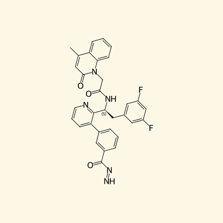 Cc1cc(=O)n(CC(=O)N[C@@H](Cc2cc(F)cc(F)c2)c2ncccc2-c2cccc(C(=O)N=N)c2)c2ccccc12